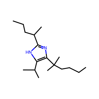 CCCCC(C)(C)c1nc(C(C)CCC)[nH]c1C(C)C